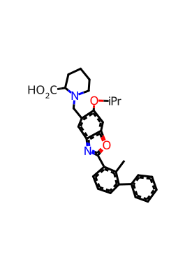 Cc1c(-c2ccccc2)cccc1-c1nc2cc(CN3CCCCC3C(=O)O)c(OC(C)C)cc2o1